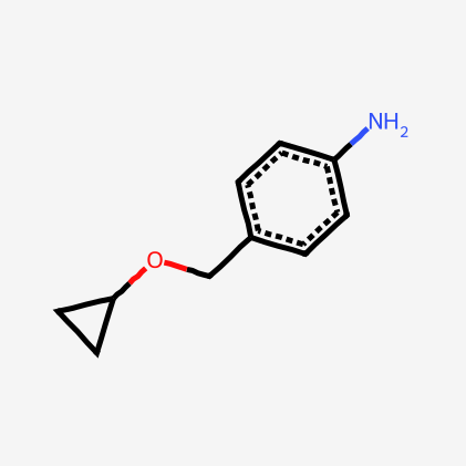 Nc1ccc(COC2CC2)cc1